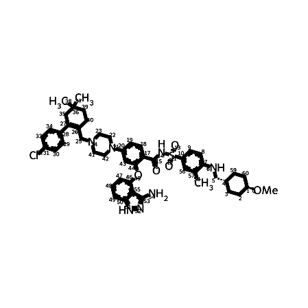 CO[C@H]1CC[C@H](CNc2ccc(S(=O)(=O)NC(=O)c3ccc(N4CCN(CC5=C(c6ccc(Cl)cc6)CC(C)(C)CC5)CC4)cc3Oc3cccc4[nH]nc(N)c34)cc2C)CC1